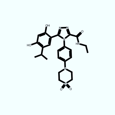 CCNC(=O)c1nnc(-c2cc(C(C)C)c(O)cc2O)n1-c1ccc(N2CCS(=O)(=O)CC2)cc1